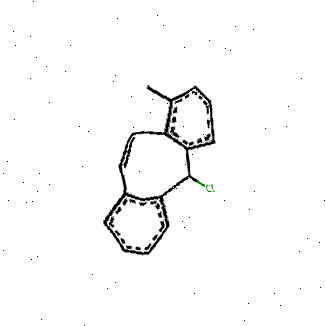 Cc1cccc2c1C=Cc1ccccc1C2Cl